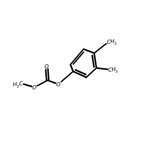 COC(=O)Oc1ccc(C)c(C)c1